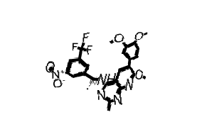 COc1ccc(-c2cc3c(N[C@H](C)c4cc([N+](=O)[O-])cc(C(F)(F)F)c4)nc(C)nc3nc2OC)cc1OC